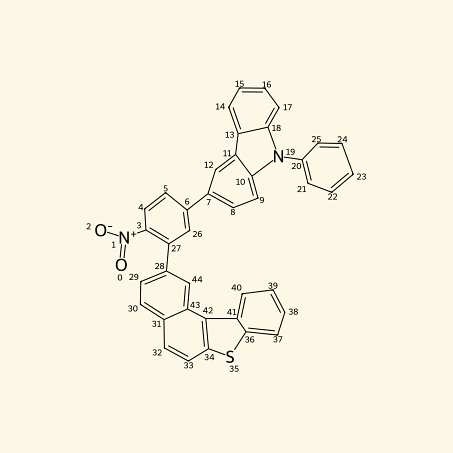 O=[N+]([O-])c1ccc(-c2ccc3c(c2)c2ccccc2n3-c2ccccc2)cc1-c1ccc2ccc3sc4ccccc4c3c2c1